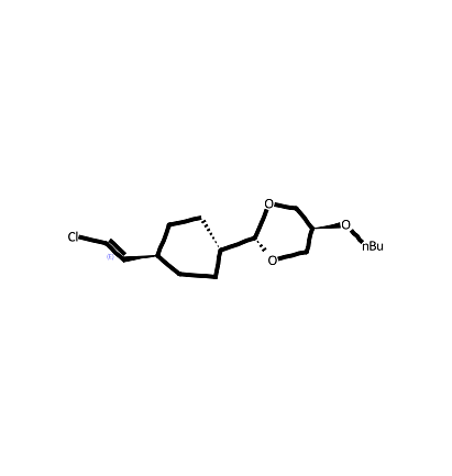 CCCCO[C@H]1CO[C@H]([C@H]2CC[C@H](/C=C/Cl)CC2)OC1